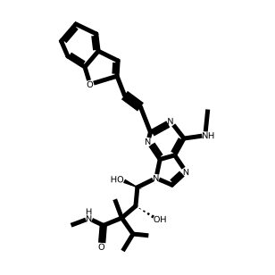 CNC(=O)C(C)(C(C)C)[C@@H](O)[C@@H](O)n1cnc2c(NC)nc(C#Cc3cc4ccccc4o3)nc21